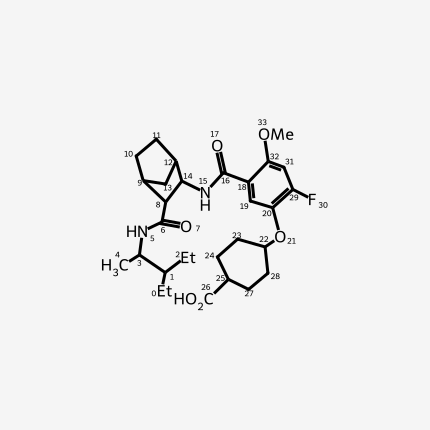 CCC(CC)C(C)NC(=O)C1C2CCC(C2)C1NC(=O)c1cc(OC2CCC(C(=O)O)CC2)c(F)cc1OC